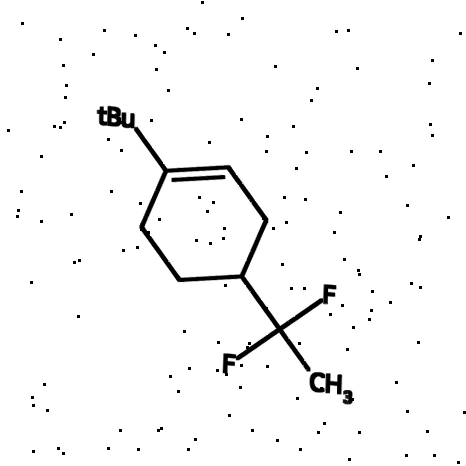 CC(C)(C)C1=CCC(C(C)(F)F)CC1